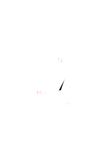 CC(C)(C)N1CC[C@H]1C(=O)O